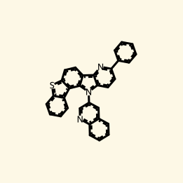 c1ccc(-c2ccc3c(n2)c2ccc4sc5ccccc5c4c2n3-c2cnc3ccccc3c2)cc1